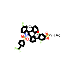 CC(=O)NS(=O)(=O)c1cc(F)c(-c2cccc(-c3c(-c4c(C#N)cccc4C#N)c4cc(F)ccc4n3S(=O)(=O)c3ccc(C(F)F)cc3)c2)c(F)c1